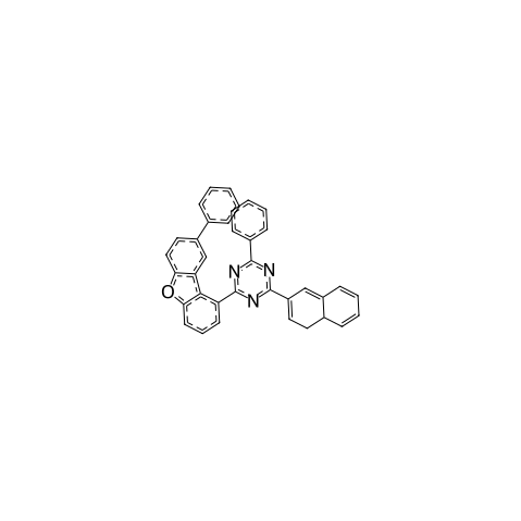 C1=CC2=CC(c3nc(-c4ccccc4)nc(-c4cccc5oc6ccc(-c7ccccc7)cc6c45)n3)=CCC2C=C1